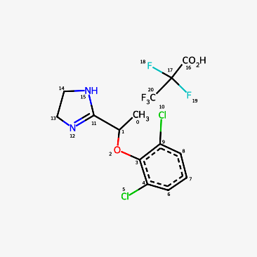 CC(Oc1c(Cl)cccc1Cl)C1=NCCN1.O=C(O)C(F)(F)C(F)(F)F